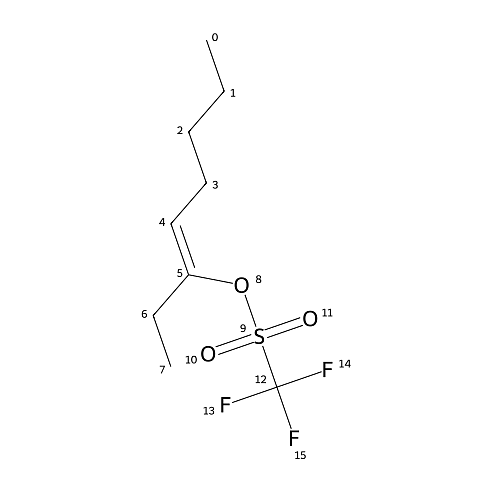 CCCCC=C(CC)OS(=O)(=O)C(F)(F)F